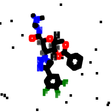 CN(C)C=NC(=O)[C@H]1C[C@@H](n2cc(-c3cc(F)c(F)c(F)c3)nn2)[C@H]2OC(c3ccccc3)OC[C@H]2O1